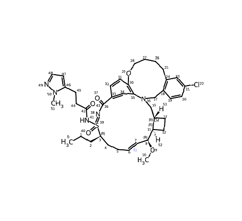 CCC[C@@H]1CC/C=C/[C@H](OC)[C@@H]2CC[C@H]2CN2Cc3ccc(Cl)cc3CCCCOc3ccc(cc32)C(=O)N=S1(=O)NC(=O)CCc1ccnn1C